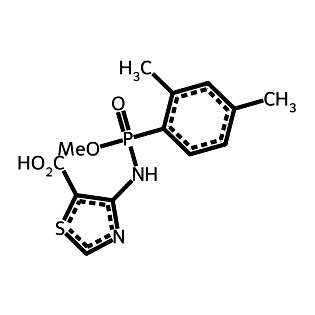 COP(=O)(Nc1ncsc1C(=O)O)c1ccc(C)cc1C